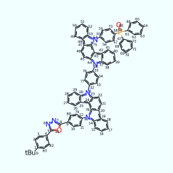 CC(C)(C)c1ccc(-c2nnc(-c3ccc(-n4c5ccccc5c5ccc6c(c7ccccc7n6-c6ccc(-n7c8ccccc8c8c7ccc7c9ccccc9n(-c9ccc(P(=O)(c%10ccccc%10)c%10ccccc%10)cc9)c78)cc6)c54)cc3)o2)cc1